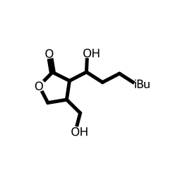 CCC(C)CCC(O)C1C(=O)OCC1CO